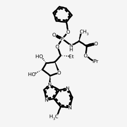 CC[C@@H](OP(=O)(N[C@@H](C)C(=O)OC(C)C)Oc1ccccc1)[C@H]1O[C@@H](n2cnc3c(C)ncnc32)[C@H](O)[C@@H]1O